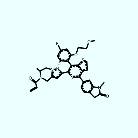 C=CC(=O)N1Cc2cc(-c3nc(-c4ccc5c(c4)N(C)C(=O)C5)c4ccsc4c3-c3c(F)cc(F)cc3OCCOC)nn2CC1C